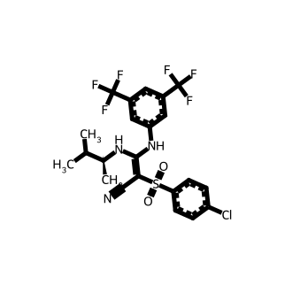 CC(C)[C@H](C)N/C(Nc1cc(C(F)(F)F)cc(C(F)(F)F)c1)=C(\C#N)S(=O)(=O)c1ccc(Cl)cc1